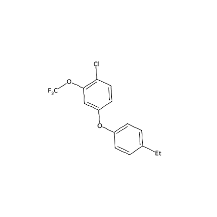 [CH2]Cc1ccc(Oc2ccc(Cl)c(OC(F)(F)F)c2)cc1